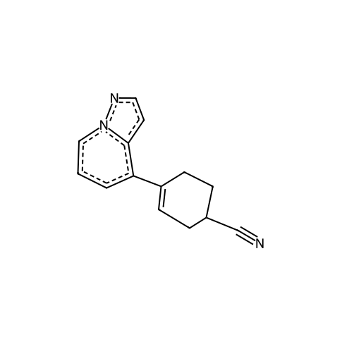 N#CC1CC=C(c2cccn3nccc23)CC1